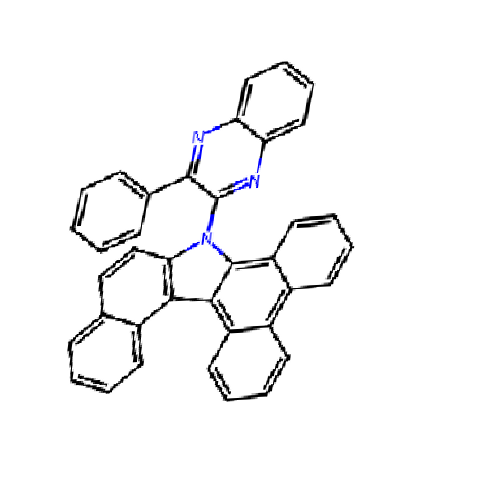 c1ccc(-c2nc3ccccc3nc2-n2c3ccc4ccccc4c3c3c4ccccc4c4ccccc4c32)cc1